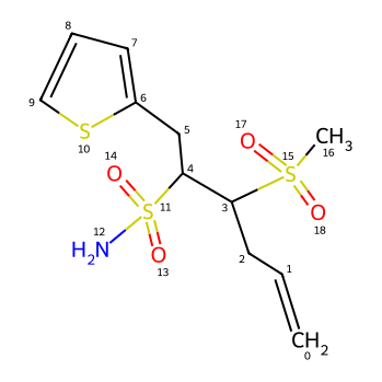 C=CCC(C(Cc1cccs1)S(N)(=O)=O)S(C)(=O)=O